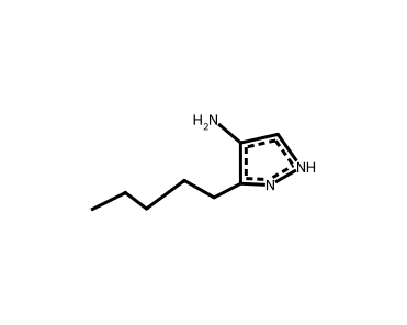 CCCCCc1n[nH]cc1N